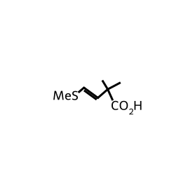 CSC=CC(C)(C)C(=O)O